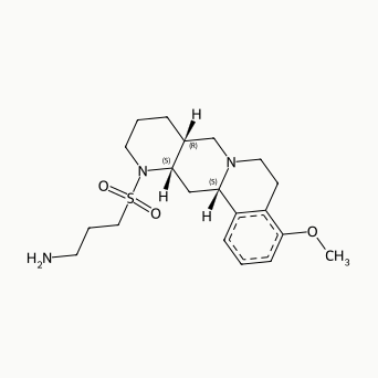 COc1cccc2c1CCN1C[C@H]3CCCN(S(=O)(=O)CCCN)[C@H]3C[C@@H]21